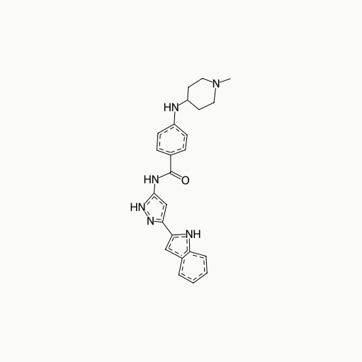 CN1CCC(Nc2ccc(C(=O)Nc3cc(-c4cc5ccccc5[nH]4)n[nH]3)cc2)CC1